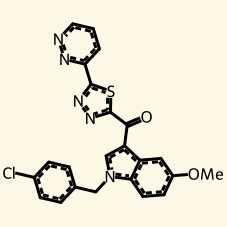 COc1ccc2c(c1)c(C(=O)c1nnc(-c3cccnn3)s1)cn2Cc1ccc(Cl)cc1